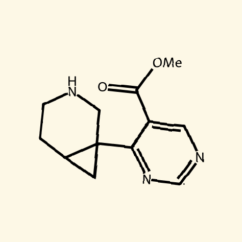 COC(=O)c1cn[c]nc1C12CNCCC1C2